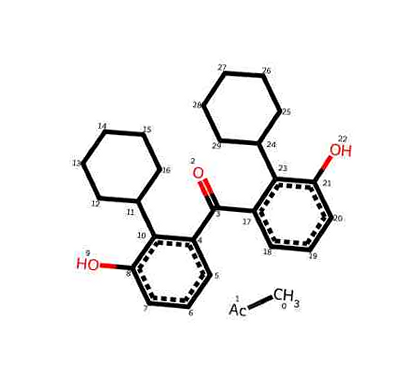 CC(C)=O.O=C(c1cccc(O)c1C1CCCCC1)c1cccc(O)c1C1CCCCC1